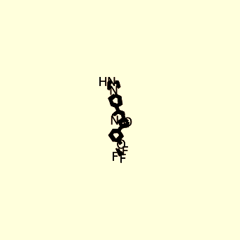 FC(F)(F)COc1cccc(-c2coc3cc(-c4ccc(N5CCNCC5)cc4)cnc23)c1